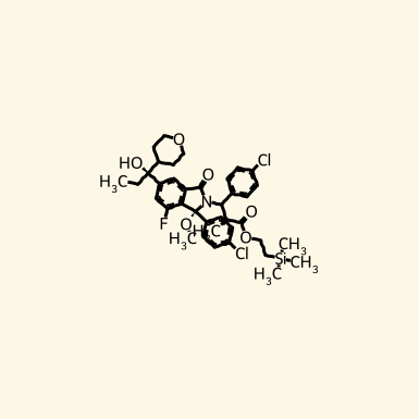 CC[C@@](O)(c1cc(F)c2c(c1)C(=O)N(C(c1ccc(Cl)cc1)[C@H](C)C(=O)OCC[Si](C)(C)C)[C@@]2(OC)c1ccc(Cl)cc1)C1CCOCC1